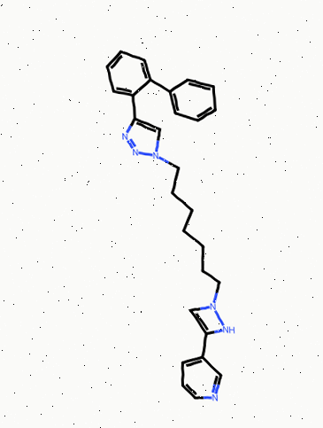 c1ccc(-c2ccccc2-c2cn(CCCCCCCn3cc(-c4cccnc4)[nH]3)nn2)cc1